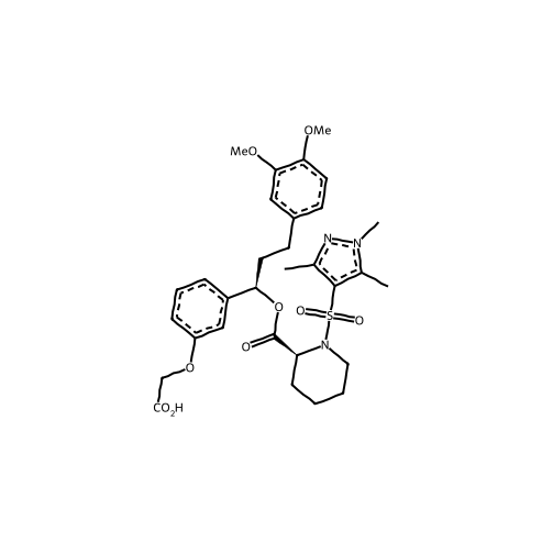 COc1ccc(CC[C@@H](OC(=O)[C@@H]2CCCCN2S(=O)(=O)c2c(C)nn(C)c2C)c2cccc(OCC(=O)O)c2)cc1OC